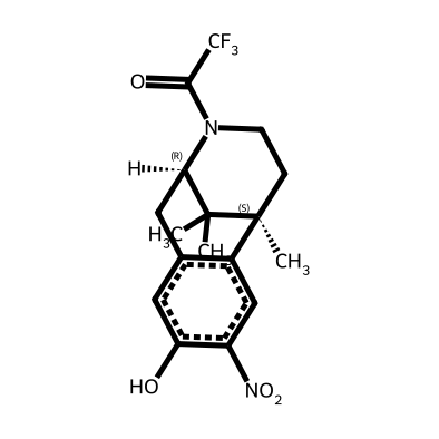 CC1(C)[C@H]2Cc3cc(O)c([N+](=O)[O-])cc3[C@]1(C)CCN2C(=O)C(F)(F)F